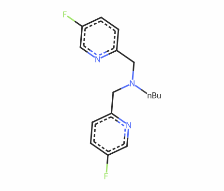 CCCCN(Cc1ccc(F)cn1)Cc1ccc(F)cn1